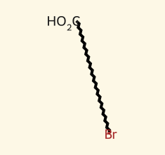 O=C(O)CCCCCCCCCCCCCCCCCCCCCCCCCCCCCCCCCBr